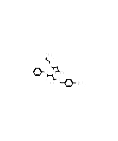 C=CCSC1CC(=O)N1C(C(=O)OCc1ccc([N+](=O)[O-])cc1)C(=S)Oc1ccccc1